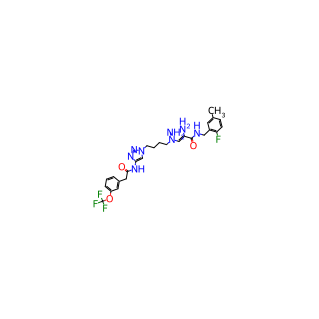 Cc1ccc(F)c(CNC(=O)/C(N)=C/N(N)CCCCn2cc(NC(=O)Cc3cccc(OC(F)(F)F)c3)nn2)c1